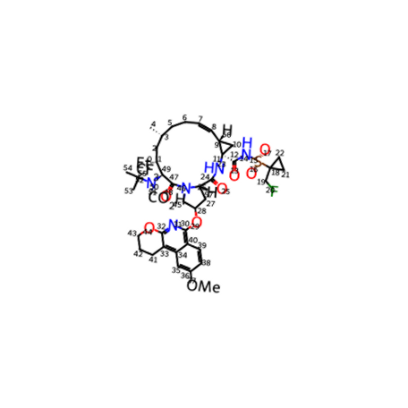 CC[C@@H]1C[C@H](C)CC/C=C\[C@@H]2C[C@@]2(C(=O)NS(=O)(=O)C2(CF)CC2)NC(=O)[C@@H]2C[C@@H](Oc3nc4c(c5cc(OC)ccc35)CCCO4)CN2C(=O)[C@H]1N(C(=O)O)C(C)(C)C(F)(F)F